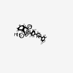 O=C(O)c1ccccc1C(=O)Nc1ccc(C2CSC(c3ccccc3)=N2)cc1